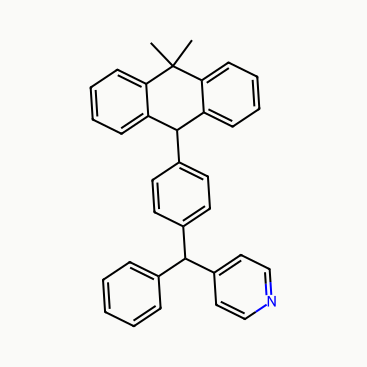 CC1(C)c2ccccc2C(c2ccc(C(c3ccccc3)c3ccncc3)cc2)c2ccccc21